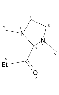 CCC(=O)C1N(C)CCN1C